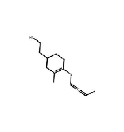 CC=C=CSC1=C(C)CC(CCC(C)C)CC1